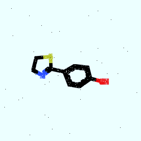 Oc1ccc(C2=NCCS2)cc1